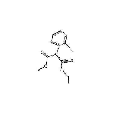 CCOC(=O)C(C(=O)OC)c1ncccc1Cl